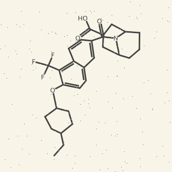 CCC1CCC(Oc2ccc3cc(C(=O)N4C5CCCC4CC(C(=O)O)C5)ccc3c2C(F)(F)F)CC1